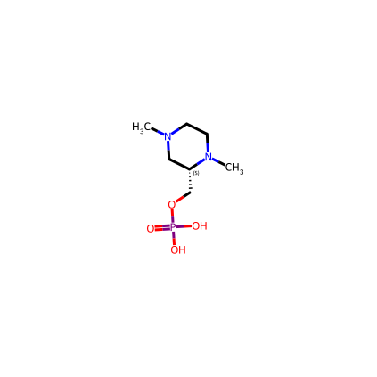 CN1CCN(C)[C@H](COP(=O)(O)O)C1